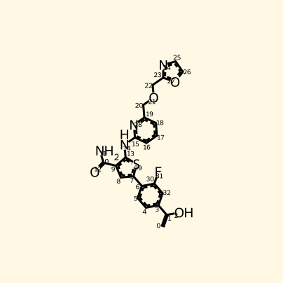 C=C(O)c1ccc(-c2cc(C(N)=O)c(Nc3cccc(COCc4ncco4)n3)s2)c(F)c1